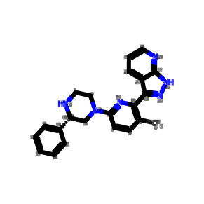 FC(F)(F)c1ccc(N2CCN[C@@H](c3ccccc3)C2)nc1-c1n[nH]c2ncccc12